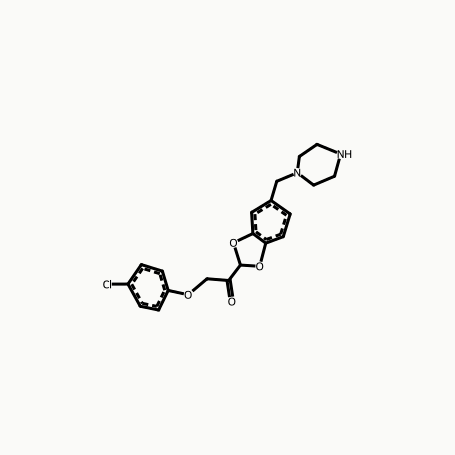 O=C(COc1ccc(Cl)cc1)C1Oc2ccc(CN3CCNCC3)cc2O1